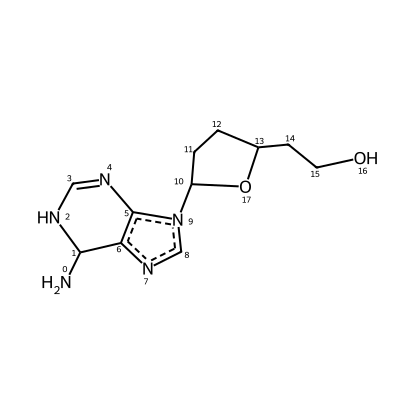 NC1NC=Nc2c1ncn2C1CCC(CCO)O1